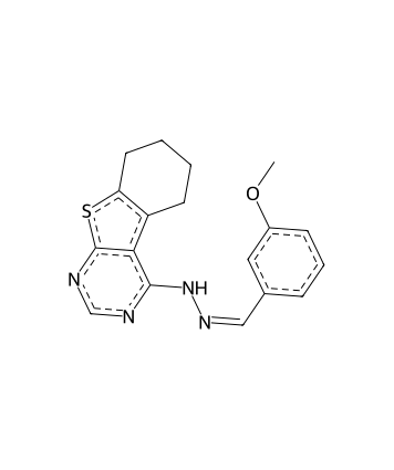 COc1cccc(/C=N\Nc2ncnc3sc4c(c23)CCCC4)c1